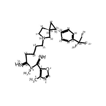 Cc1ncoc1C(=N)N(C)C(=N)CCCCN1CC[C@]2(C[C@@H]2c2ccc(C(F)(F)F)cc2)C1